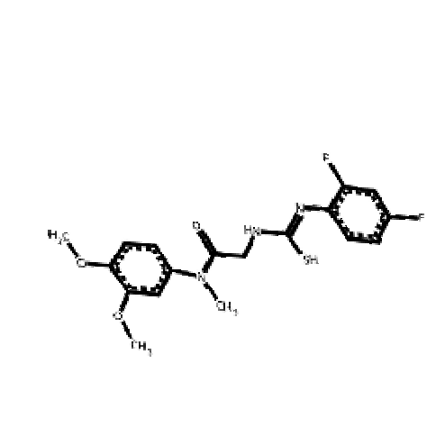 COc1ccc(N(C)C(=O)CNC(S)=Nc2ccc(F)cc2F)cc1OC